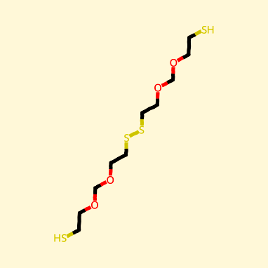 SCCOCOCCSSCCOCOCCS